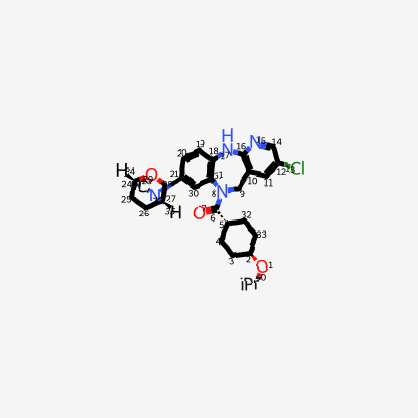 CC(C)O[C@H]1CC[C@H](C(=O)N2Cc3cc(Cl)cnc3Nc3ccc(N4C[C@@H]5CC[C@H]4CO5)cc32)CC1